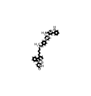 CN(CCCCCc1ccnc2c1c1ccccc1n2C1CCC(=O)NC1=O)Cc1ccc(N2CCN(c3cc(-c4ccccc4O)nnc3N)CC2)cc1